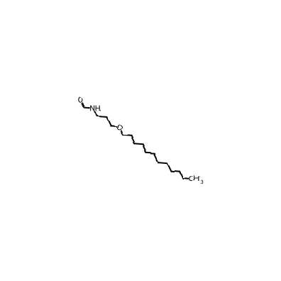 CCCCCCCCCCCCOCCCNC=O